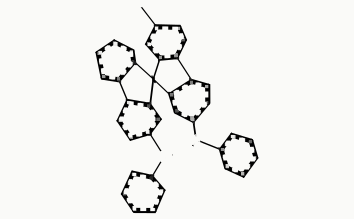 Cc1ccc2c(c1)C1(c3ccccc3-c3ccc([S+]([O-])c4ccccc4)cc31)c1cc([S+]([O-])c3ccccc3)ccc1-2